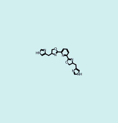 c1cc(C2=NC(Cc3c[nH]cn3)CO2)nc(C2=NC(Cc3c[nH]cn3)CO2)c1